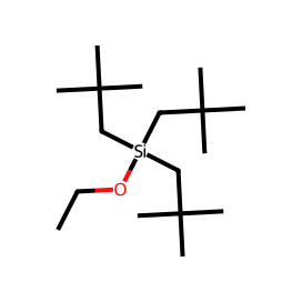 CCO[Si](CC(C)(C)C)(CC(C)(C)C)CC(C)(C)C